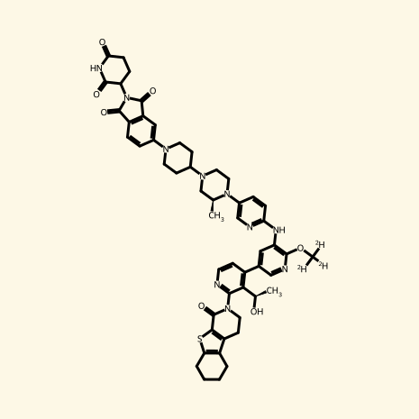 [2H]C([2H])([2H])Oc1ncc(-c2ccnc(N3CCc4c(sc5c4CCCC5)C3=O)c2[C@@H](C)O)cc1Nc1ccc(N2CCN(C3CCN(c4ccc5c(c4)C(=O)N(C4CCC(=O)NC4=O)C5=O)CC3)C[C@@H]2C)cn1